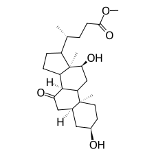 COC(=O)CC[C@@H](C)C1CCC2[C@@H]3C(=O)C[C@@H]4C[C@H](O)CC[C@]4(C)C3C[C@H](O)[C@@]21C